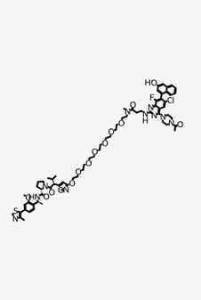 COc1cc(-c2scnc2C)ccc1[C@H](C)NC(=O)[C@@H]1CCCN1C(=O)[C@H](c1cc(OCCOCCOCCOCCOCCOCCOCCN(C)C(=O)CCNc2nc(N3CCN(C(C)=O)CC3)c3cc(Cl)c(-c4cc(O)cc5ccccc45)c(F)c3n2)no1)C(C)C